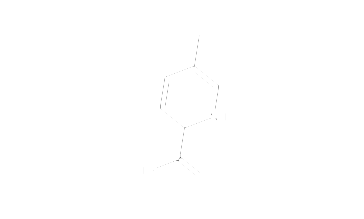 CC1=CNC(C(=O)O)C=C1